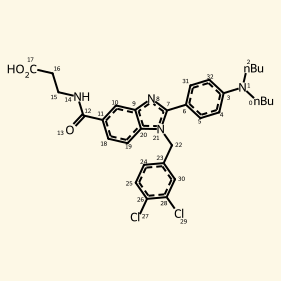 CCCCN(CCCC)c1ccc(-c2nc3cc(C(=O)NCCC(=O)O)ccc3n2Cc2ccc(Cl)c(Cl)c2)cc1